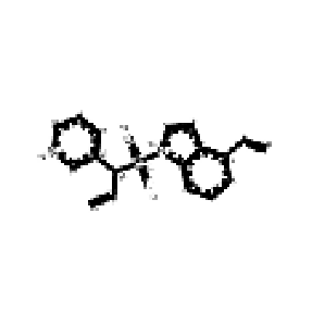 C=Cc1cccc2c1ccn2S(=O)(=O)C(C=C)c1cccnc1